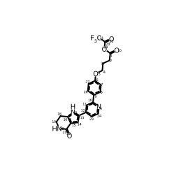 O=C(CCCOc1ccc(-c2cc(-c3cc4c([nH]3)CCNC4=O)ccn2)cc1)OC(=O)C(F)(F)F